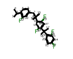 CC(C)c1ccc(CC(C)(C)c2cc(F)c(C(C)(C)c3ccc(F)cc3F)cc2F)cc1F